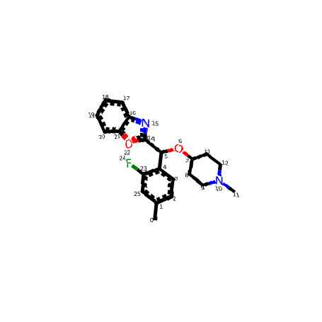 Cc1ccc(C(OC2CCN(C)CC2)c2nc3ccccc3o2)c(F)c1